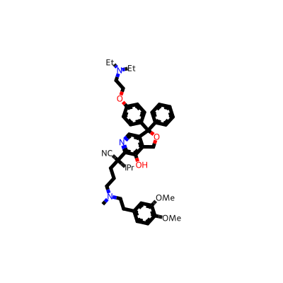 CCN(CC)CCOc1ccc(C2(c3ccccc3)OCc3c2cnc(C(C#N)(CCCN(C)CCc2ccc(OC)c(OC)c2)C(C)C)c3O)cc1